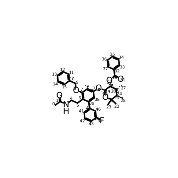 CC(=O)NCCc1c(OCc2ccccc2)cc(O[C@@H]2OC(C)(C)[C@H](C)[C@@H](C)[C@H]2OC(=O)c2ccccc2)cc1-c1cccc(F)c1